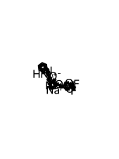 Cc1c(OCC2COC(CF)(CF)OC2)ccnc1C[S+]([O-])c1nc2ccccc2[nH]1.[Na]